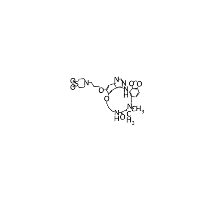 C[C@H]1C(=O)NCCCOc2cc3c(ncnc3cc2OCCCN2CCS(=O)(=O)CC2)Nc2c(ccc3c2OCO3)CN1C